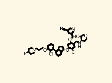 N#Cc1cncc(COc2cc(O[C@H]3CCc4c(-c5cccc(OCCCN6CCC(F)CC6)c5Cl)cccc43)c(Cl)cc2CN[C@H]2CCOC[C@@H]2O)c1